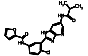 CC(C)C(=O)Nc1cnc2nc(-c3cc(NC(=O)c4ccco4)ccc3Cl)[nH]c2c1